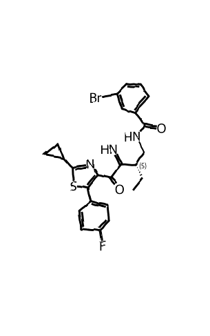 CC[C@@H](CNC(=O)c1cccc(Br)c1)C(=N)C(=O)c1nc(C2CC2)sc1-c1ccc(F)cc1